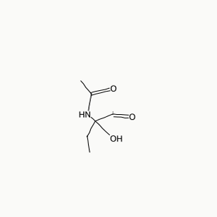 CCC(O)([C]=O)NC(C)=O